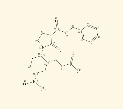 CC(C)C(=O)OC[C@@H]1C[C@H](N(C)C(C)C)CC[C@@H]1N1CCC(C(=O)OCc2ccccc2)C1=O